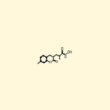 Cc1ccc2c(c1)OC(=O)C(CC(C)C(=O)NO)C2